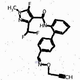 C#CCO/N=C\c1ccc(-c2ccccc2NC(=O)c2c(C(F)F)nn(C)c2F)cc1